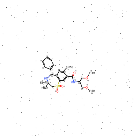 CCCC[C@]1(CC)CS(=O)(=O)c2cc(C(=O)NC(COC=O)COC=O)c(OC)cc2[C@@H](c2ccccc2)N1